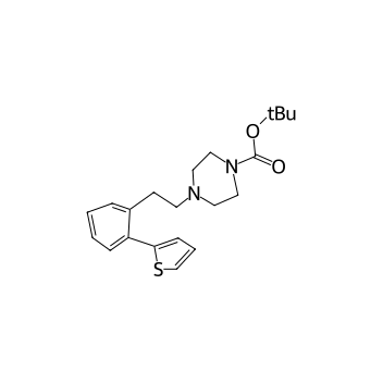 CC(C)(C)OC(=O)N1CCN(CCc2ccccc2-c2cccs2)CC1